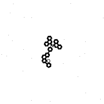 c1ccc2c(c1)cc(N(c1ccc(-c3ccc4c(ccc5ccc6c7ccccc7oc6c54)c3)cc1)c1cc3ccccc3c3ccccc13)c1ccccc12